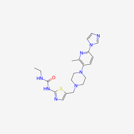 CCNC(=O)Nc1ncc(CN2CCN(c3ccc(-n4ccnc4)nc3C)CC2)s1